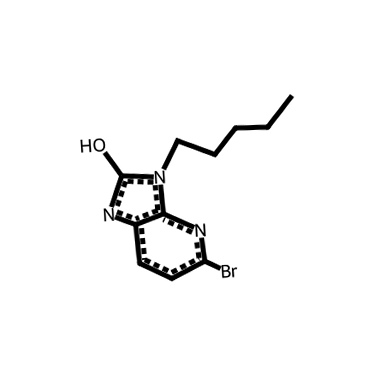 CCCCCn1c(O)nc2ccc(Br)nc21